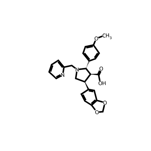 COc1ccc([C@@H]2[C@@H](C(=O)O)[C@@H](c3ccc4c(c3)OCO4)CN2Cc2ccccn2)cc1